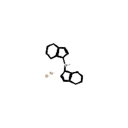 C1=C[CH]([Zr+2][CH]2C=CC3=C2CCCC3)C2=C1CCCC2.[Br-].[Br-]